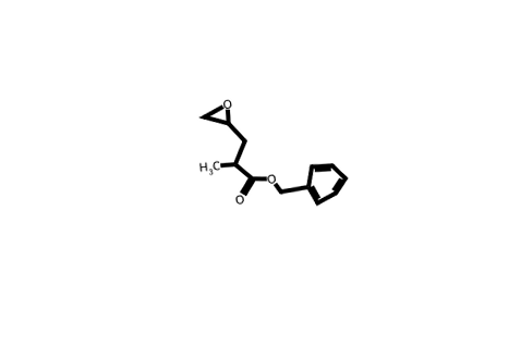 CC(CC1CO1)C(=O)OCc1ccccc1